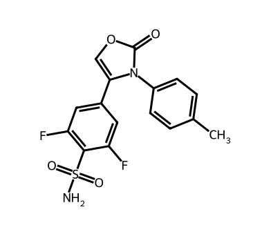 Cc1ccc(-n2c(-c3cc(F)c(S(N)(=O)=O)c(F)c3)coc2=O)cc1